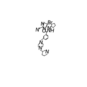 CN1CCCC(CN2CCN(Cc3cccc(C(=O)NN(c4nc(C#N)ncc4Br)C4CCCC4)c3)CC2)C1